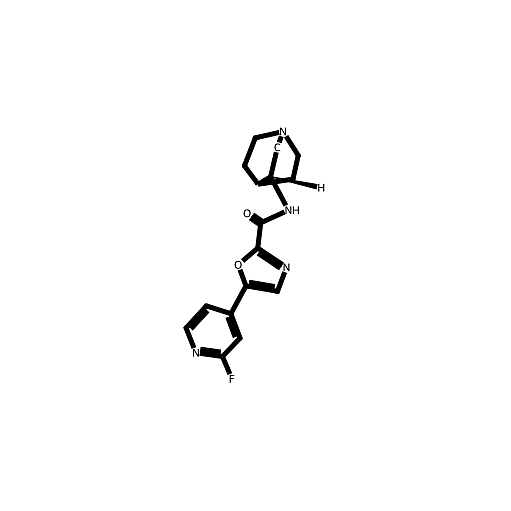 O=C(N[C@H]1CN2CCC1CC2)c1ncc(-c2ccnc(F)c2)o1